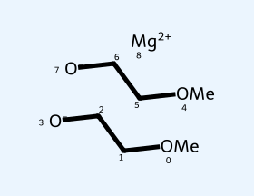 COCC[O-].COCC[O-].[Mg+2]